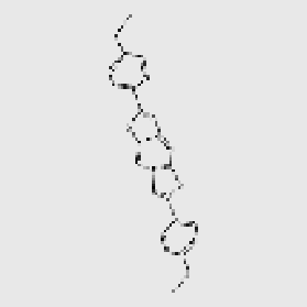 CCc1ccc(-c2cc3cc4sc(-c5ccc(CC)cc5)cc4cc3s2)cc1